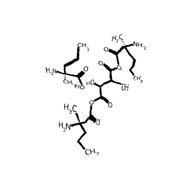 CCC[C@](C)(N)C(=O)O.CCC[C@](C)(N)C(=O)OC(=O)C(O)C(O)C(=O)OC(=O)[C@@](C)(N)CCC